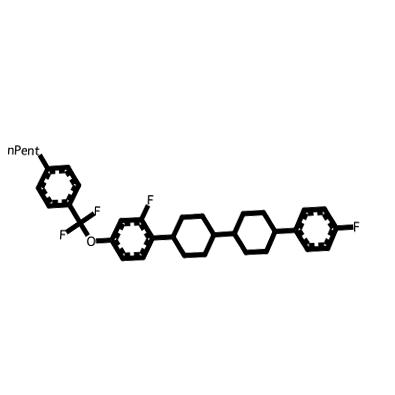 CCCCCc1ccc(C(F)(F)Oc2ccc(C3CCC(C4CCC(c5ccc(F)cc5)CC4)CC3)c(F)c2)cc1